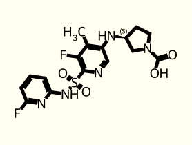 Cc1c(N[C@H]2CCN(C(=O)O)C2)cnc(S(=O)(=O)Nc2cccc(F)n2)c1F